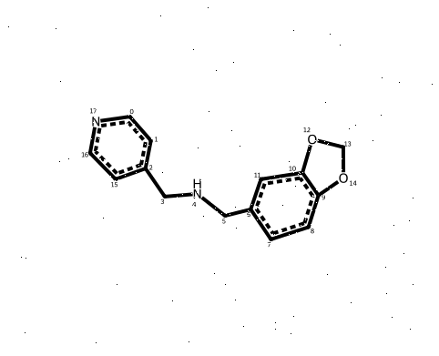 c1cc(CNCc2ccc3c(c2)OCO3)ccn1